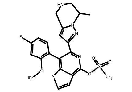 CC(C)Oc1cc(F)ccc1-c1c(-c2cc3n(n2)C(C)CNC3)nc(OS(=O)(=O)C(F)(F)F)c2ccsc12